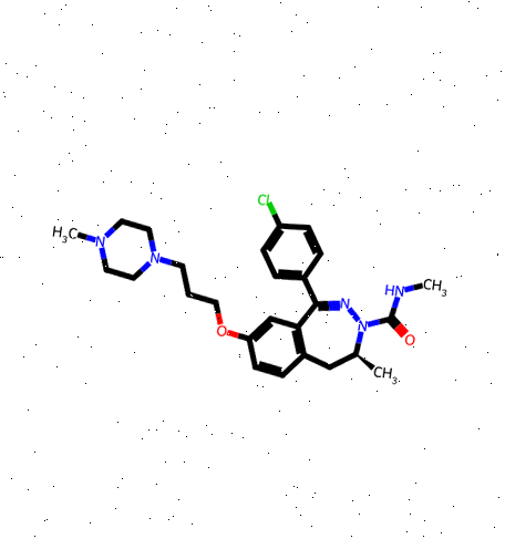 CNC(=O)N1N=C(c2ccc(Cl)cc2)c2cc(OCCCN3CCN(C)CC3)ccc2C[C@@H]1C